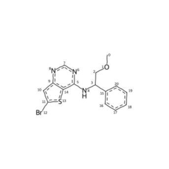 COCC(Nc1ncnc2cc(Br)sc12)c1ccccc1